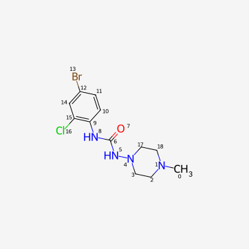 CN1CCN(NC(=O)Nc2ccc(Br)cc2Cl)CC1